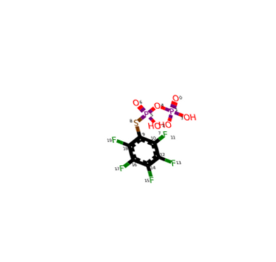 O=P(O)(O)OP(=O)(O)Sc1c(F)c(F)c(F)c(F)c1F